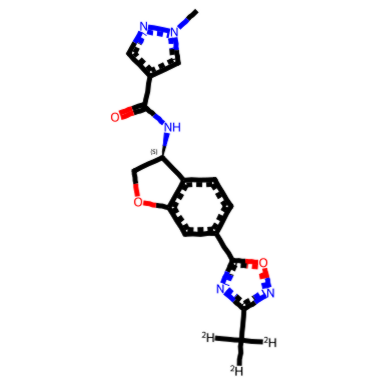 [2H]C([2H])([2H])c1noc(-c2ccc3c(c2)OC[C@H]3NC(=O)c2cnn(C)c2)n1